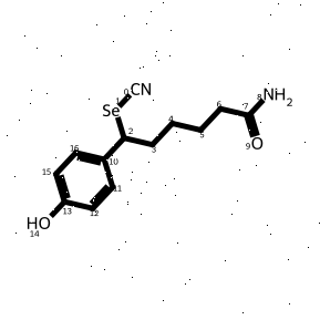 N#C[Se]C(CCCCC(N)=O)c1ccc(O)cc1